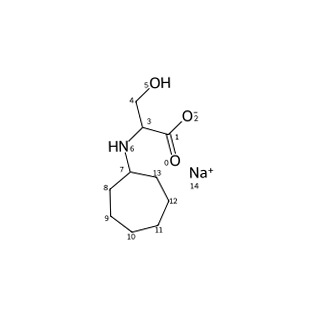 O=C([O-])C(CO)NC1CCCCCC1.[Na+]